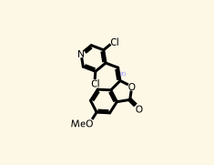 COc1ccc2c(c1)C(=O)O/C2=C/c1c(Cl)cncc1Cl